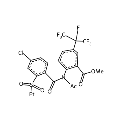 CCS(=O)(=O)c1cc(Cl)ccc1C(=O)N(C(C)=O)c1ccc(C(F)(C(F)(F)F)C(F)(F)F)cc1C(=O)OC